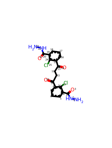 NNC(=O)c1cccc(C(=O)CCC(=O)c2cccc(C(=O)NN)c2Cl)c1Cl